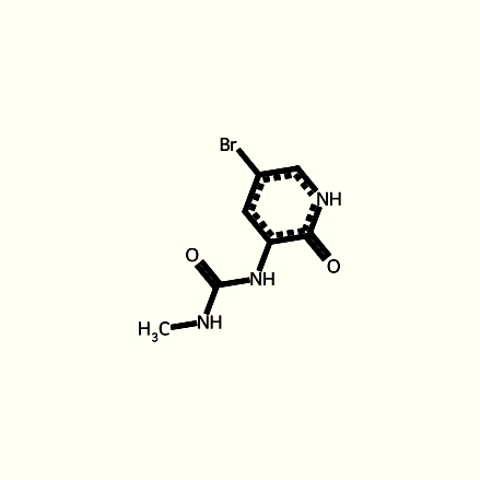 CNC(=O)Nc1cc(Br)c[nH]c1=O